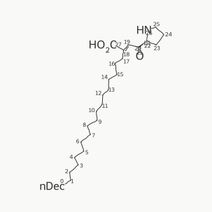 CCCCCCCCCCCCCCCCCCCCCCCCCCCC(=CC(=O)[C@@H]1CCCN1)C(=O)O